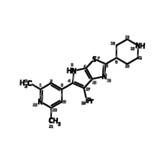 Cc1cc(-c2[nH]c3sc(C4CCNCC4)nc3c2C(C)C)cc(C)n1